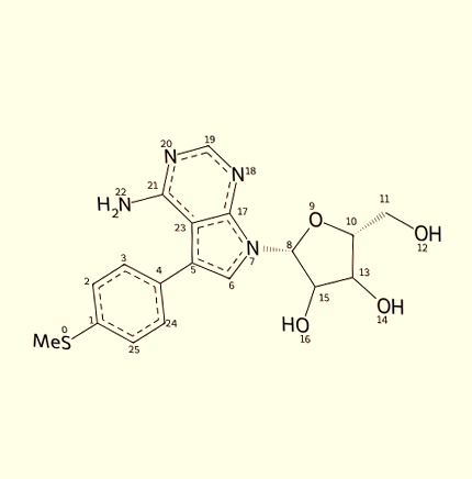 CSc1ccc(-c2cn([C@@H]3O[C@H](CO)C(O)C3O)c3ncnc(N)c23)cc1